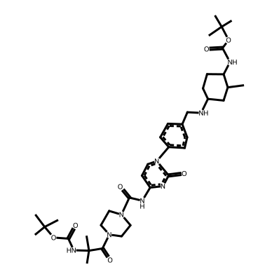 CC1CC(NCc2ccc(-n3ccc(NC(=O)N4CCN(C(=O)C(C)(C)NC(=O)OC(C)(C)C)CC4)nc3=O)cc2)CCC1NC(=O)OC(C)(C)C